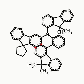 CC1(C)c2ccccc2-c2c(-c3ccccc3N(c3ccc4c(c3)-c3ccccc3C43CCCC3)c3cccc4c3C(C)(C)c3ccccc3-4)cccc21